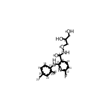 O=C(NOCC(O)CO)c1ccc(F)nc1Nc1ccc(I)cc1F